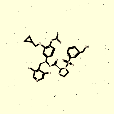 O=C(O[C@@H](Cc1c(Cl)cncc1Cl)c1ccc(OC(F)F)c(OCC2CC2)c1)[C@@H]1SCCN1S(=O)(=O)c1cccc(CO)c1